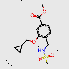 COC(=O)c1ccc(CNS(C)(=O)=O)c(OCC2CC2)c1